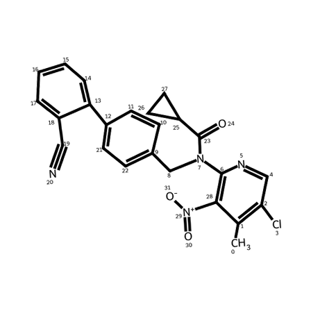 Cc1c(Cl)cnc(N(Cc2ccc(-c3ccccc3C#N)cc2)C(=O)C2CC2)c1[N+](=O)[O-]